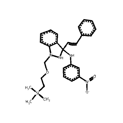 C[Si](C)(C)CCOCN1NC(/C=C/c2ccccc2)(Nc2cccc([N+](=O)[O-])c2)c2ccccc21